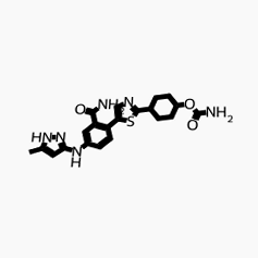 Cc1cc(Nc2ccc(-c3cnc(C4CCC(OC(N)=O)CC4)s3)c(C(N)=O)c2)n[nH]1